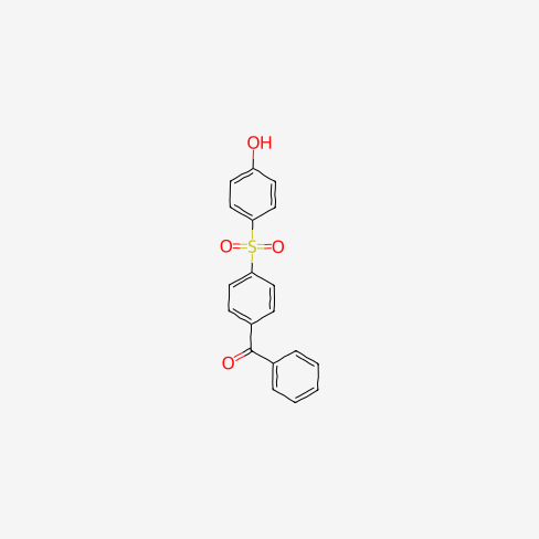 O=C(c1ccccc1)c1ccc(S(=O)(=O)c2ccc(O)cc2)cc1